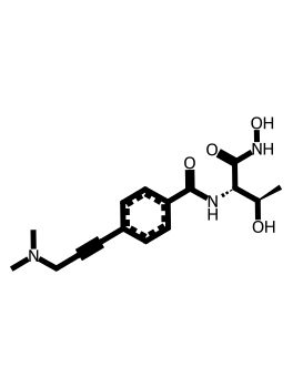 C[C@@H](O)[C@H](NC(=O)c1ccc(C#CCN(C)C)cc1)C(=O)NO